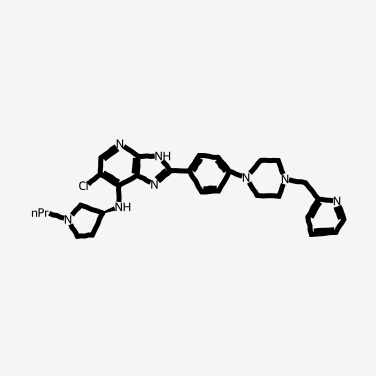 CCCN1CC[C@H](Nc2c(Cl)cnc3[nH]c(-c4ccc(N5CCN(Cc6ccccn6)CC5)cc4)nc23)C1